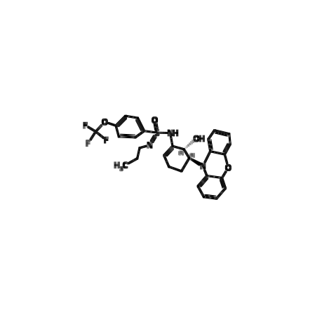 CCCN=S(=O)(NC1=CCC[C@H](N2c3ccccc3Oc3ccccc32)[C@H]1O)c1ccc(OC(F)(F)F)cc1